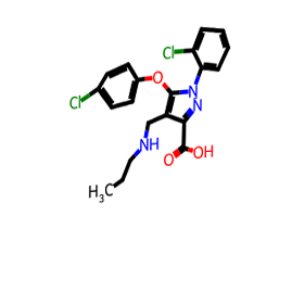 CCCNCc1c(C(=O)O)nn(-c2ccccc2Cl)c1Oc1ccc(Cl)cc1